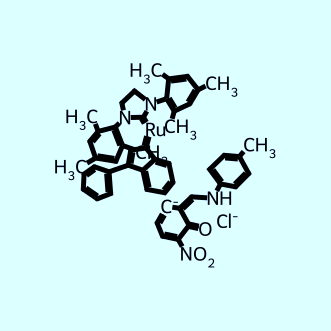 Cc1cc(C)c(N2CCN(c3c(C)cc(C)cc3C)[C]2=[Ru]=[C]2C=C(c3ccccc3)c3ccccc32)c(C)c1.Cc1ccc(NC=C2[C-]=CC=C([N+](=O)[O-])C2=O)cc1.[Cl-]